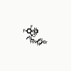 CCN(C(=O)c1cc(F)cc(F)c1-n1nccn1)[C@@H](C)CNc1cnc(Br)cn1